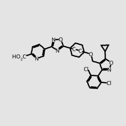 O=C(O)c1ccc(-c2noc(C34CCC(OCc5c(-c6c(Cl)cccc6Cl)noc5C5CC5)(CC3)CC4)n2)cn1